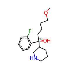 COCCCC[C@@](O)(c1ccccc1F)C1CCCNC1